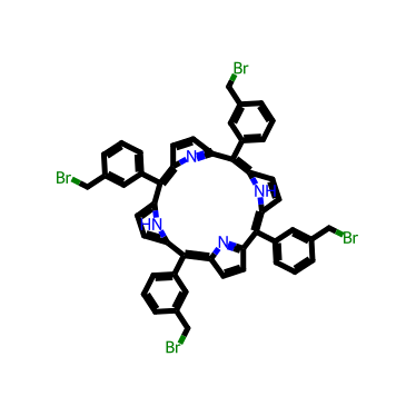 BrCc1cccc(-c2c3nc(c(-c4cccc(CBr)c4)c4ccc([nH]4)c(-c4cccc(CBr)c4)c4nc(c(-c5cccc(CBr)c5)c5ccc2[nH]5)C=C4)C=C3)c1